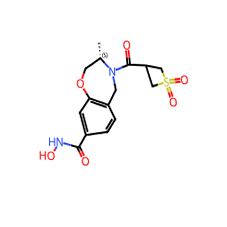 C[C@H]1COc2cc(C(=O)NO)ccc2CN1C(=O)C1CS(=O)(=O)C1